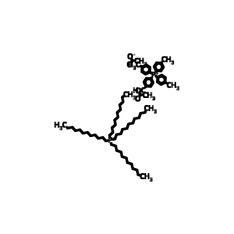 CC(=O)[O-].CC(=O)[O-].CCCCCCCCCCCC[P+](CCCCCCCCCCCC)(CCCCCCCCCCCC)CCCCCCCCCCCC.Cc1ccc([P+](c2ccc(C)cc2)(c2ccc(C)cc2)c2ccc(C)cc2)cc1